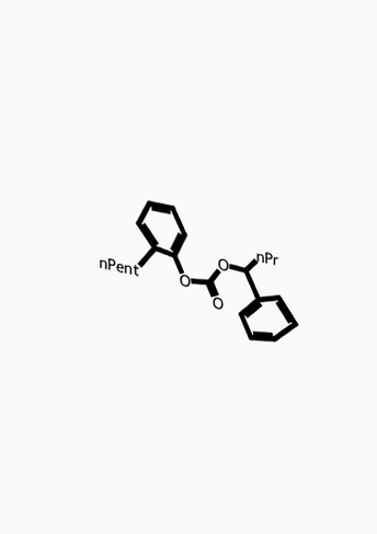 CCCCCc1ccccc1OC(=O)OC(CCC)c1ccccc1